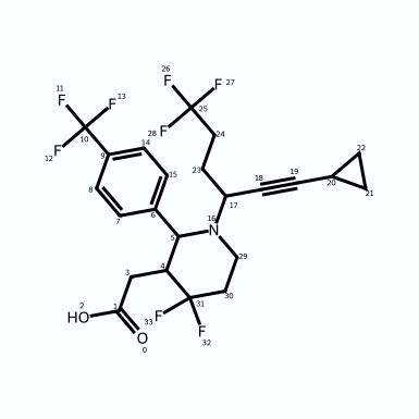 O=C(O)CC1C(c2ccc(C(F)(F)F)cc2)N(C(C#CC2CC2)CCC(F)(F)F)CCC1(F)F